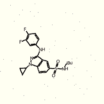 CCC(C)NS(=O)(=O)c1ccc2c(c1)c(Nc1ccc(F)c(F)c1)nn2C1CC1